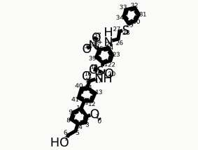 COc1cc(CCO)ccc1-c1ccc(C(=O)NS(=O)(=O)c2ccc(NCCSc3ccccc3)c([N+](=O)[O-])c2)cc1